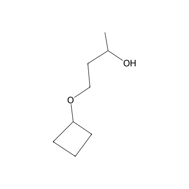 CC(O)CCOC1CCC1